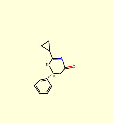 O=C1C[C@H](c2ccccc2)[Se]C(C2CC2)=N1